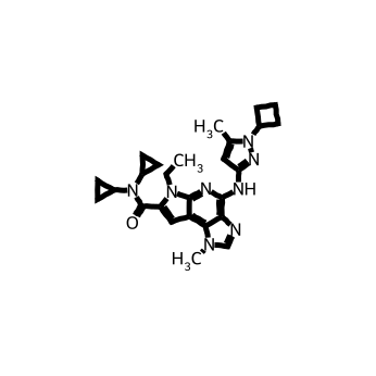 CCn1c(C(=O)N(C2CC2)C2CC2)cc2c3c(ncn3C)c(Nc3cc(C)n(C4CCC4)n3)nc21